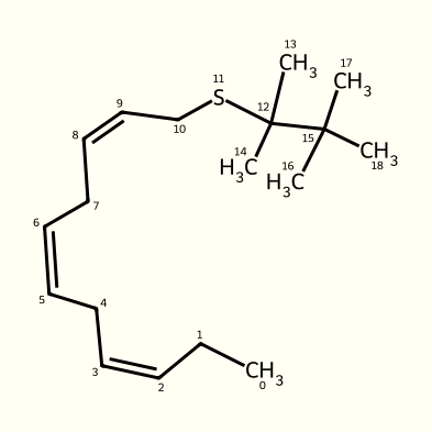 CC/C=C\C/C=C\C/C=C\CSC(C)(C)C(C)(C)C